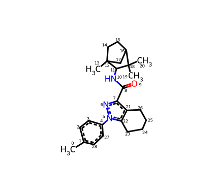 Cc1ccc(-n2nc(C(=O)NC3C4(C)CCC(C4)C3(C)C)c3c2CCCC3)cc1